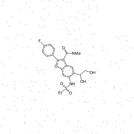 CCS(=O)(=O)Nc1cc2oc(-c3ccc(F)cc3)c(C(=O)NC)c2cc1C(O)CO